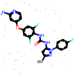 CC(C)(C)c1cc(NC(=O)Nc2c(F)cc(Oc3ccnc(N)c3)cc2F)n(-c2ccc(F)cc2)n1